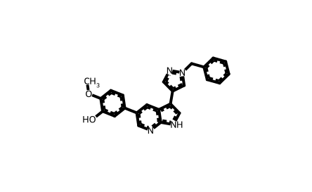 COc1ccc(-c2cnc3[nH]cc(-c4cnn(Cc5ccccc5)c4)c3c2)cc1O